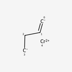 [CH-]=CC[CH2-].[Cr+2]